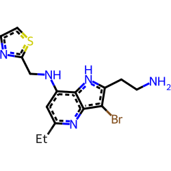 CCc1cc(NCc2nccs2)c2[nH]c(CCN)c(Br)c2n1